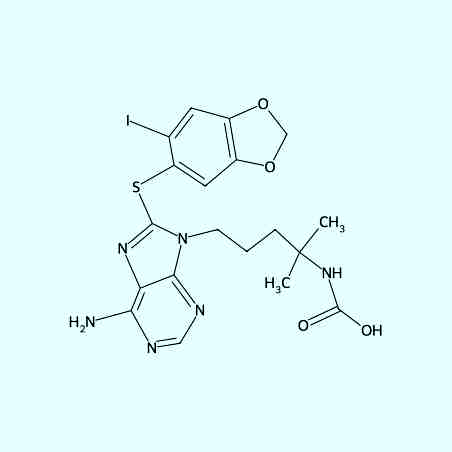 CC(C)(CCCn1c(Sc2cc3c(cc2I)OCO3)nc2c(N)ncnc21)NC(=O)O